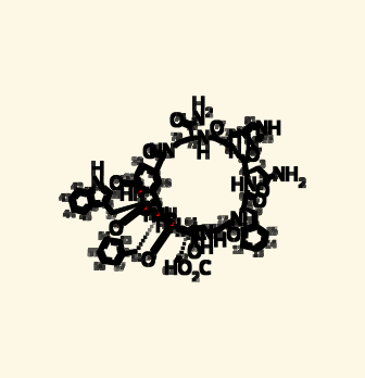 NC(=O)C[C@H]1NC(=O)[C@@H](Cc2ccccc2)NC(=O)[C@@H]2CCCCNC(=O)c3cc(cc(c3)C(=O)N[C@@H](Cc3c[nH]c4ccccc34)C(=O)N[C@H](Cc3ccccc3)C(=O)N[C@@H](CC(=O)O)C(=O)N2)C(=O)NC[C@@H](C(N)=O)NC(=O)[C@H](Cc2c[nH]cn2)NC1=O